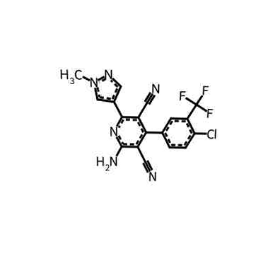 Cn1cc(-c2nc(N)c(C#N)c(-c3ccc(Cl)c(C(F)(F)F)c3)c2C#N)cn1